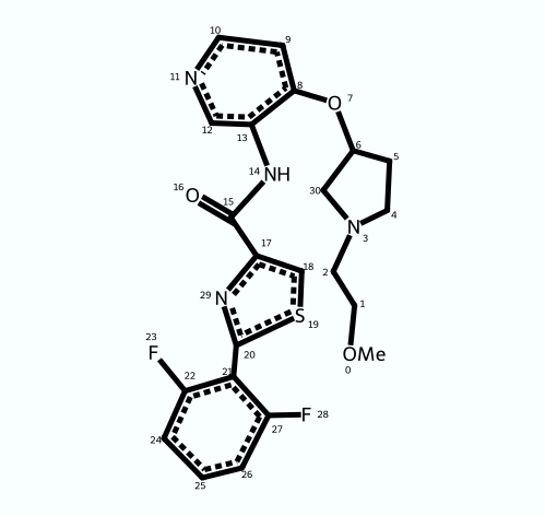 COCCN1CCC(Oc2ccncc2NC(=O)c2csc(-c3c(F)cccc3F)n2)C1